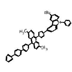 Cc1ccc2c(-c3ccc(-c4ccc5c(c4)c4cc(C(C)(C)C)ccc4n5-c4ccccc4)cc3)c3cc(C)ccc3c(-c3ccc(-c4ccc(-c5ccccc5)cc4)cc3)c2c1